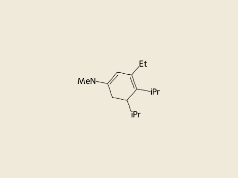 CCC1=C(C(C)C)C(C(C)C)CC(NC)=C1